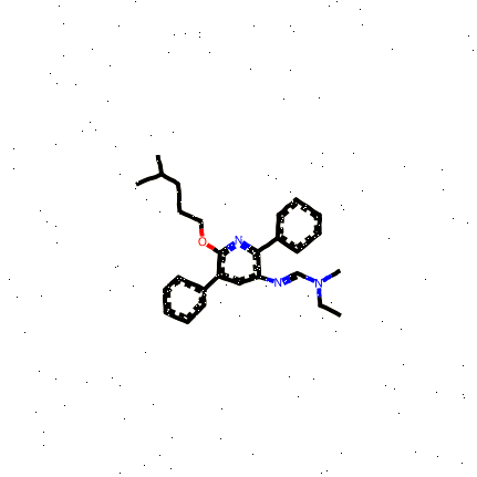 CCN(C)/C=N/c1cc(-c2ccccc2)c(OCCCC(C)C)nc1-c1ccccc1